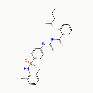 CCCC(C)Oc1ccccc1C(=O)NC(=S)Nc1ccc(S(=O)(=O)Nc2c(C)cccc2C)cc1